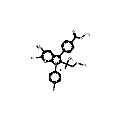 COCC(C)(C)c1c(-c2ccc(C(=O)OC)cc2)c2cc(N)c(C)nc2n1-c1ccc(F)cc1